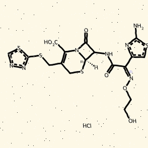 Cl.Nc1nc(/C(=N/OCCO)C(=O)NC2C(=O)N3C(C(=O)O)=C(CSc4nncs4)CS[C@H]23)cs1